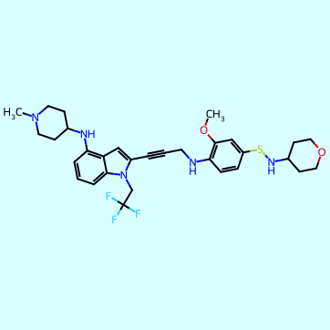 COc1cc(SNC2CCOCC2)ccc1NCC#Cc1cc2c(NC3CCN(C)CC3)cccc2n1CC(F)(F)F